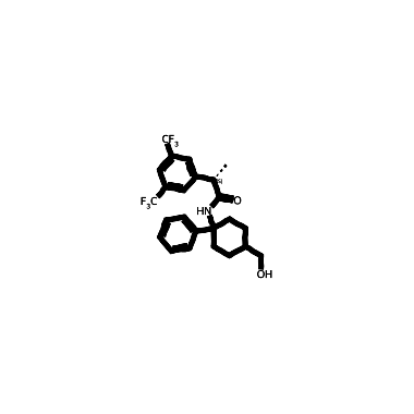 C[C@H](C(=O)NC1(c2ccccc2)CCC(CO)CC1)c1cc(C(F)(F)F)cc(C(F)(F)F)c1